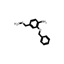 CSCc1ccc(N)c(OCc2ccccc2)c1